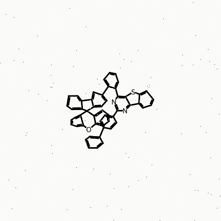 c1ccc(-c2ccc(-c3nc(-c4ccccc4-c4ccc5c(c4)-c4ccccc4C54c5ccccc5Oc5ccccc54)c4sc5ccccc5c4n3)cc2)cc1